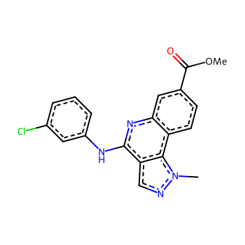 COC(=O)c1ccc2c(c1)nc(Nc1cccc(Cl)c1)c1cnn(C)c12